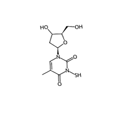 Cc1cn([C@H]2CC(O)[C@@H](CO)O2)c(=O)n(S)c1=O